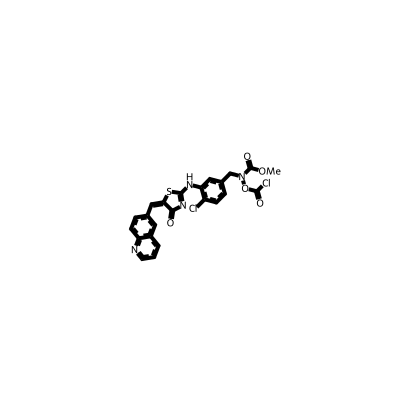 COC(=O)N(Cc1ccc(Cl)c(NC2=NC(=O)C(=Cc3ccc4ncccc4c3)S2)c1)OC(=O)Cl